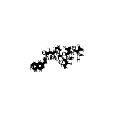 CC[C@H](C)C([C@@H](CC(=O)N1CCC[C@H]1[C@H](OC)[C@@H](C)C(=O)NCCc1ccc2cnccc2c1)OC)N(C)C(=O)[C@@H](NC(=O)[C@@H](NC)C(C)C)C(C)C